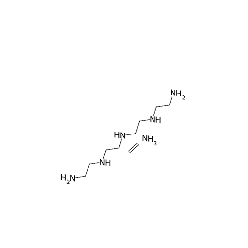 C=C.N.NCCNCCNCCNCCN